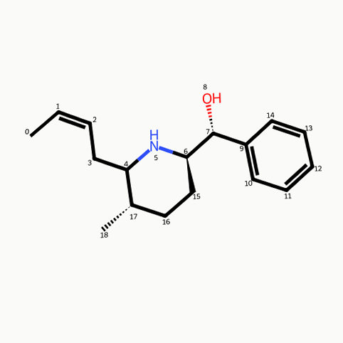 C/C=C\CC1N[C@@H]([C@H](O)c2ccccc2)CC[C@@H]1C